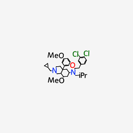 COc1cccc(C23CCN(CC4CC4)CC2C(OC)CC(N(CC(C)C)C(=O)Cc2ccc(Cl)c(Cl)c2)C3)c1